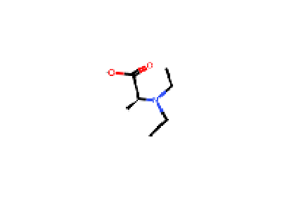 CCN(CC)[C@@H](C)C([O])=O